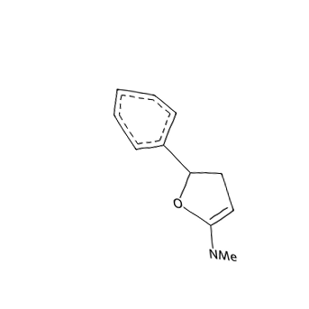 CNC1=CCC(c2ccccc2)O1